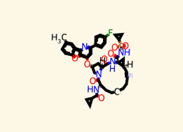 Cc1ccc2oc3c(O[C@@H]4C[C@H]5C(=O)N[C@]6(C(=O)NS(=O)(=O)C7CC7)C[C@H]6/C=C\CCCCC[C@H](NC(=O)C6CC6)C(=O)N5C4)cc(-c4ccc(F)cc4)nc3c2c1